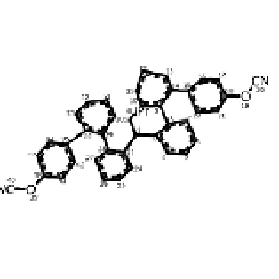 CC(C)CC(c1ccccc1-c1ccccc1-c1ccc(OC#N)cc1)c1ccccc1-c1ccccc1-c1ccc(OC#N)cc1